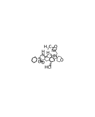 Cc1nc(CNC2(c3ccc(CC4[C@H](C)NC[C@@H](c5ccccc5)S4(=O)=O)c(F)c3)CCOCC2)co1.Cl